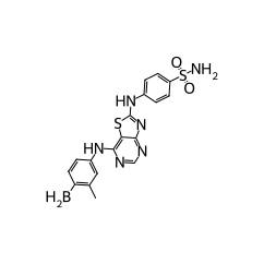 Bc1ccc(Nc2ncnc3nc(Nc4ccc(S(N)(=O)=O)cc4)sc23)cc1C